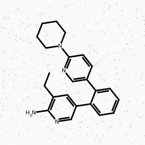 CCc1cc(-c2ccccc2-c2ccc(N3CCCCC3)nc2)cnc1N